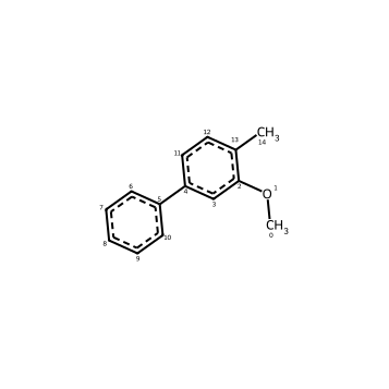 COc1cc(-c2ccccc2)ccc1C